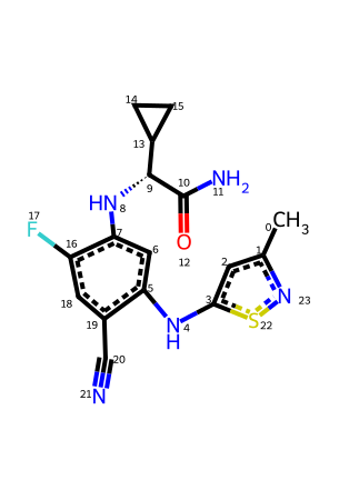 Cc1cc(Nc2cc(N[C@@H](C(N)=O)C3CC3)c(F)cc2C#N)sn1